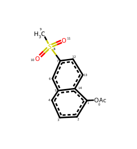 CC(=O)Oc1cccc2cc(S(C)(=O)=O)ccc12